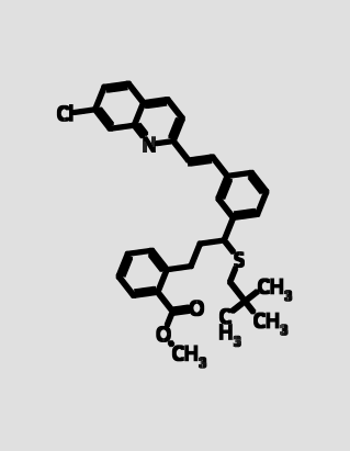 COC(=O)c1ccccc1CCC(SCC(C)(C)C)c1cccc(/C=C/c2ccc3ccc(Cl)cc3n2)c1